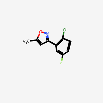 Cc1[c]c(-c2cc(F)ccc2Cl)no1